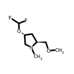 COC[C@@H]1C[C@@H](OC(F)F)CN1C